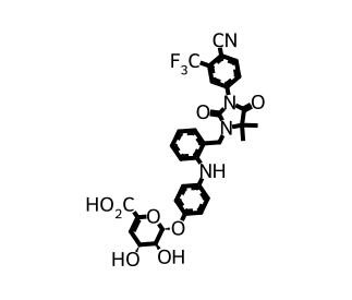 CC1(C)C(=O)N(c2ccc(C#N)c(C(F)(F)F)c2)C(=O)N1Cc1ccccc1Nc1ccc(O[C@H]2OC(C(=O)O)=C[C@@H](O)[C@@H]2O)cc1